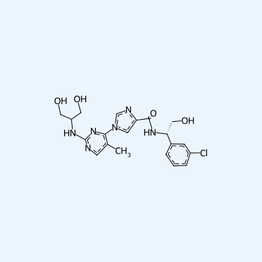 Cc1cnc(NC(CO)CO)nc1-n1cnc(C(=O)N[C@H](CO)c2cccc(Cl)c2)c1